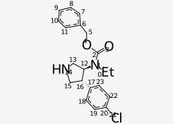 CCN(C(=O)OCc1ccccc1)[C@@H]1CNC[C@H]1c1ccc(Cl)cc1